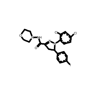 O=C(NN1CCOCC1)C1=NN(c2ccc(Cl)cc2Cl)C(c2ccc(I)cc2)C1